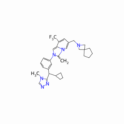 C=C1N2C=C(CN3CC4(CCCC4)C3)C=C(C(F)(F)F)C2=CN1c1cccc(C(c2nncn2C)C2CCC2)c1